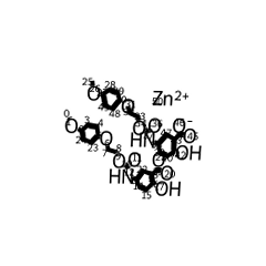 COc1ccc(OCCOC(=O)Nc2ccc(O)c(C(=O)[O-])c2)cc1.COc1ccc(OCCOC(=O)Nc2ccc(O)c(C(=O)[O-])c2)cc1.[Zn+2]